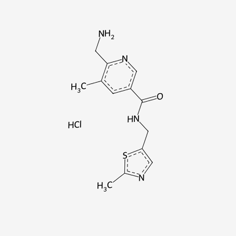 Cc1ncc(CNC(=O)c2cnc(CN)c(C)c2)s1.Cl